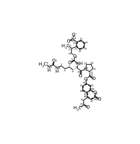 CNC(=O)NCCCC[C@H](NC(=O)OCC(C)c1ccccc1[N+](=O)[O-])C(=O)N1CCC[C@H]1C(=O)Oc1ccc2c(CC(C)=O)cc(=O)oc2c1